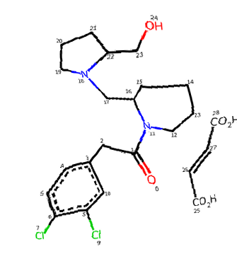 O=C(Cc1ccc(Cl)c(Cl)c1)N1CCCCC1CN1CCCC1CO.O=C(O)C=CC(=O)O